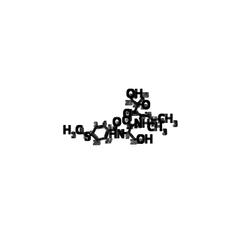 CSc1ccc(C(=O)NC(CO)C(=O)NC(CC(C)C)C(=O)C2(CO)CO2)cc1